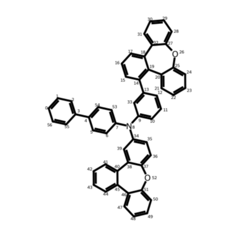 c1ccc(-c2ccc(N(c3cccc(-c4cccc5c4-c4ccccc4Oc4ccccc4-5)c3)c3ccc4c(c3)-c3ccccc3-c3ccccc3O4)cc2)cc1